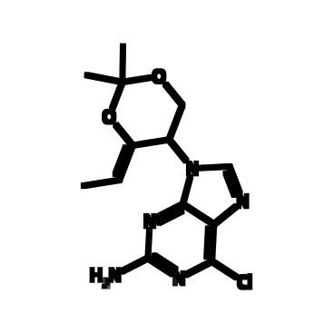 CC=C1OC(C)(C)OCC1n1cnc2c(Cl)nc(N)nc21